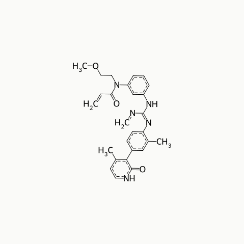 C=CC(=O)N(CCOC)c1cccc(N/C(N=C)=N/c2ccc(-c3c(C)cc[nH]c3=O)cc2C)c1